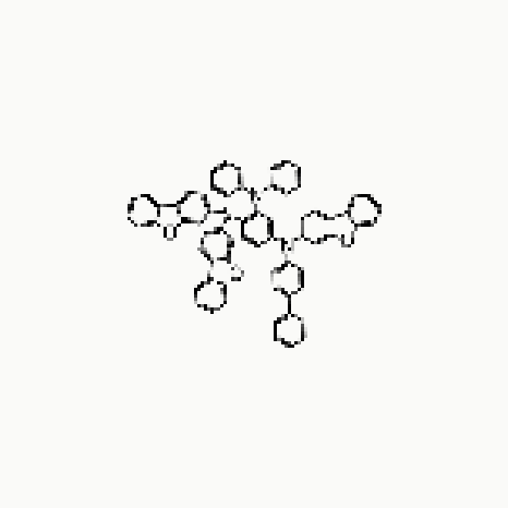 c1ccc(-c2ccc(N(c3ccc4c(c3)N(c3ccccc3)c3ccccc3[Si]4(c3ccc4c(c3)oc3ccccc34)c3ccc4c(c3)oc3ccccc34)c3ccc4c(c3)oc3ccccc34)cc2)cc1